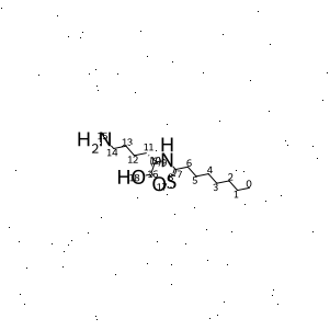 CCCCCCCC(=S)N[C@@H](CCCCN)C(=O)O